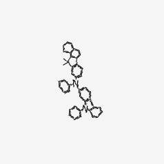 CC1(C)c2cc(N(c3ccccc3)c3ccc4c5ccccc5n(-c5ccccc5)c4c3)ccc2-c2ccc3ccccc3c21